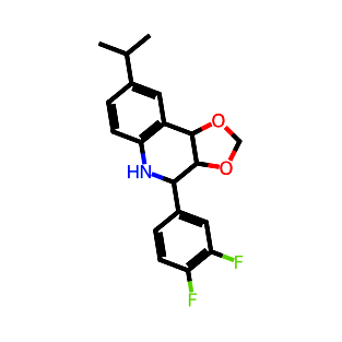 CC(C)c1ccc2c(c1)C1OCOC1C(c1ccc(F)c(F)c1)N2